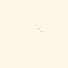 CCc1cccc(-c2ccc(C(=O)NCCCN(C)C)cc2)c1